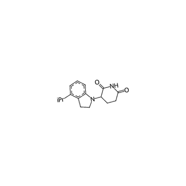 CC(C)c1cccc2c1CCN2C1CCC(=O)NC1=O